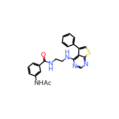 CC(=O)Nc1cccc(C(=O)NCCNc2ncnc3scc(-c4ccccc4)c23)c1